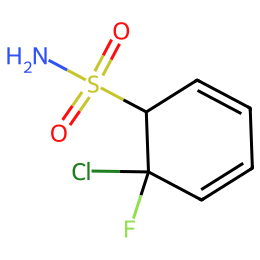 NS(=O)(=O)C1C=CC=CC1(F)Cl